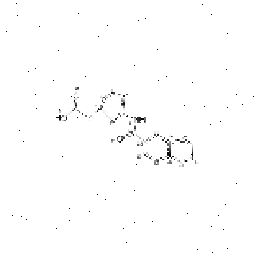 O=C(O)Cc1cccc(NC(=O)c2ccc3ccccc3c2)c1